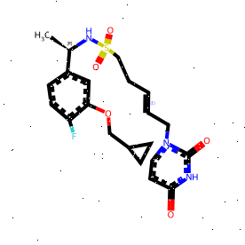 C[C@@H](NS(=O)(=O)CC/C=C/Cn1ccc(=O)[nH]c1=O)c1ccc(F)c(OCC2CC2)c1